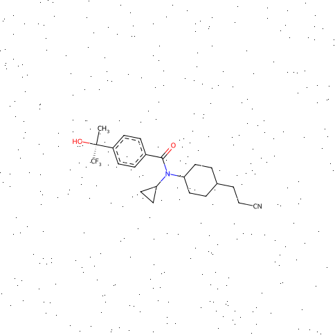 C[C@](O)(c1ccc(C(=O)N(C2CCC(CCC#N)CC2)C2CC2)cc1)C(F)(F)F